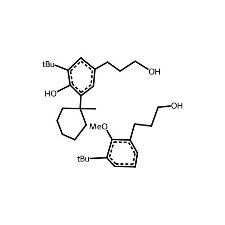 CC(C)(C)c1cc(CCCO)cc(C2(C)CCCCC2)c1O.COc1c(CCCO)cccc1C(C)(C)C